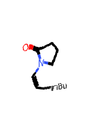 CCCC/C=C\N1CCCC1=O